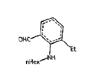 CCCCCCNc1c(C=O)cccc1CC